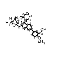 COc1ccc(-c2ccc3c(N4CCOC[C@@H]4C)nc(CC(OC)OC)nc3n2)cc1CO